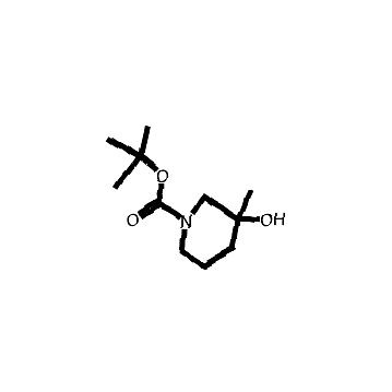 CC1(O)CCCN(C(=O)OC(C)(C)C)C1